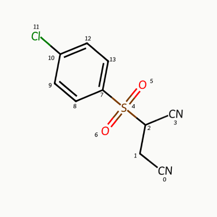 N#CCC(C#N)S(=O)(=O)c1ccc(Cl)cc1